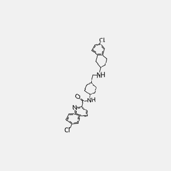 O=C(NC1CCC(CNC2CCc3cc(Cl)ccc3C2)CC1)c1ccc2cc(Cl)ccc2n1